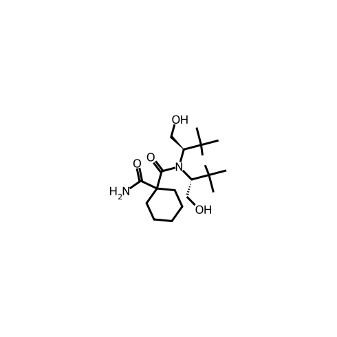 CC(C)(C)[C@H](CO)N(C(=O)C1(C(N)=O)CCCCC1)[C@@H](CO)C(C)(C)C